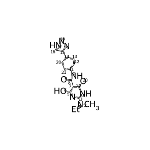 CCN(C)c1nc(O)c(C(=O)Nc2ccc(-c3c[nH]nn3)cc2)c(=O)[nH]1